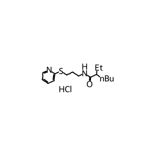 CCCCC(CC)C(=O)NCCCSc1ccccn1.Cl